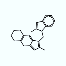 CC1=Cc2ccccc2C1CC1=C(C)C=C2CC3=C(C=C21)CCCC3